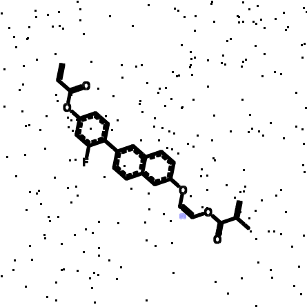 C=CC(=O)Oc1ccc(-c2ccc3cc(O/C=C\OC(=O)C(=C)C)ccc3c2)c(F)c1